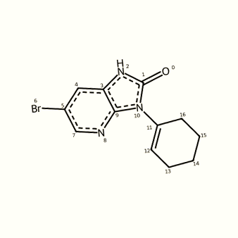 O=c1[nH]c2cc(Br)cnc2n1C1=CCCCC1